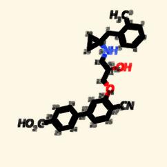 Cc1ccccc1CC1(NC[C@@H](O)COc2cc(-c3ccc(C(=O)O)cc3)ccc2C#N)CC1